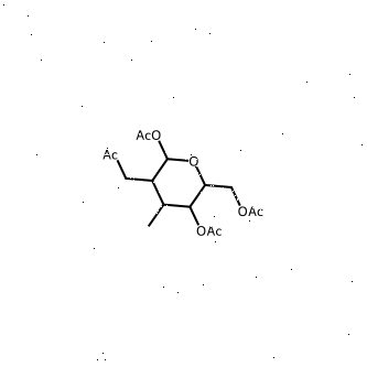 CC(=O)CC1C(OC(C)=O)OC(COC(C)=O)C(OC(C)=O)C1C